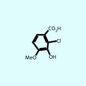 COc1ccc(C(=O)O)c(Cl)c1O